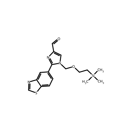 C[Si](C)(C)CCOCn1cc(C=O)nc1-c1ccc2scnc2c1